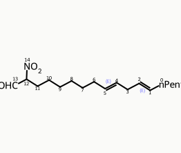 CCCCC/C=C/C/C=C/CCCCCCC([C]=O)[N+](=O)[O-]